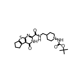 CC(C)(C)OC(=O)NN1CCC(CNC(=O)c2nc3sc4c(c3c(=O)[nH]2)CCC4)CC1